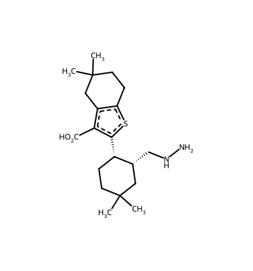 CC1(C)CCc2sc([C@H]3CCC(C)(C)C[C@H]3CNN)c(C(=O)O)c2C1